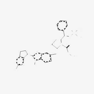 Cc1nc2c(s1)CC[C@H]2c1nc2cc(C[C@@H]3CC[C@H]([C@H](O[Si](C)(C)C(C)(C)C)c4ccccc4)N3C(=O)OC(C)(C)C)ccc2n1C